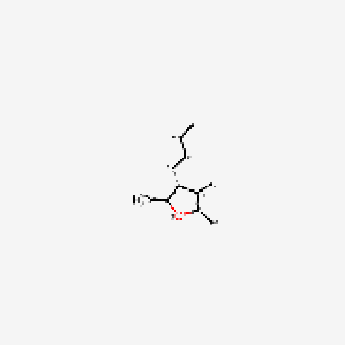 B[C@@H]1O[C@H](C)C(C)[C@H]1CCCC